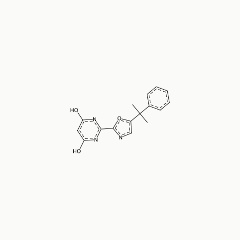 CC(C)(c1ccccc1)c1cnc(-c2nc(O)cc(O)n2)o1